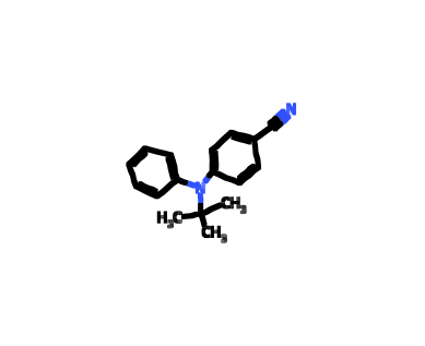 CC(C)(C)N(c1ccccc1)c1ccc(C#N)cc1